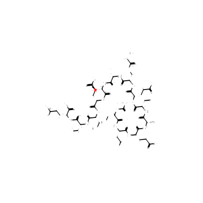 CCCCCCC(=O)N[C@@H](CC(C)C)C(=O)N[C@H](CCC(=O)O)C(=O)N[C@H](CCC(N)=O)C(=O)N[C@@H](C(=O)N[C@H](CC(C)C)C(=O)N[C@@H](CCC(N)=O)C(=O)N[C@H](COC(=O)C[C@@H](C)CC)C(=O)N[C@@H](C(=O)N[C@H](CC(C)C)C(=O)N[C@H](CCC(N)=O)C(=O)N[C@@H](CC(C)C)C(=O)N[C@@H](CC(C)C)C(=O)N[C@H](CCC(N)O)C(N)=O)C(C)C)C(C)C